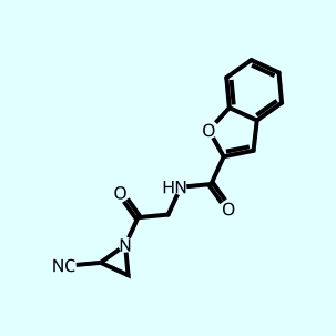 N#CC1CN1C(=O)CNC(=O)c1cc2ccccc2o1